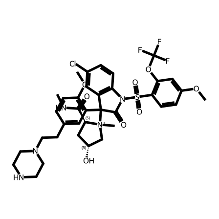 CNC(=O)[C@@H]1C[C@@H](O)C[N+]1(C)C1(c2cc(CCN3CCNCC3)ccc2OC)C(=O)N(S(=O)(=O)c2ccc(OC)cc2OC(F)(F)F)c2ccc(Cl)cc21